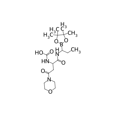 CCC(NC(=O)C(CC(=O)N1CCOCC1)NC(=O)O)B1OC(C)(C)C(C)(C)O1